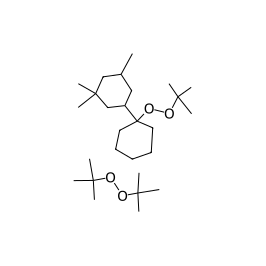 CC(C)(C)OOC(C)(C)C.CC1CC(C2(OOC(C)(C)C)CCCCC2)CC(C)(C)C1